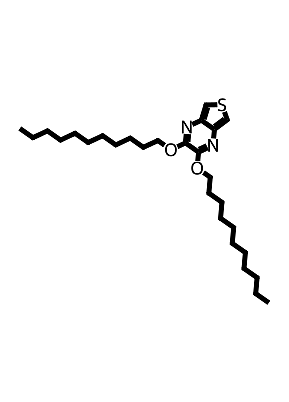 CCCCCCCCCCCOc1nc2cscc2nc1OCCCCCCCCCCC